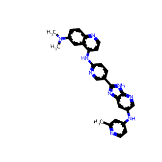 Cc1cc(Nc2cnc3[nH]c(-c4ccc(Nc5ccnc6ccc(N(C)C)cc56)nc4)nc3c2)ccn1